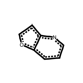 [c]1coc2cccnc12